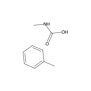 CNC(=O)O.Cc1ccccc1